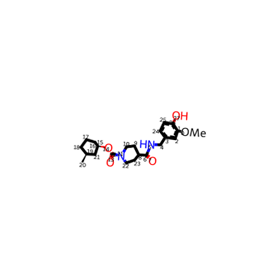 COc1cc(CNC(=O)C2CCN(C(=O)O[C@@H]3CCC[C@H](C)C3)CC2)ccc1O